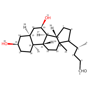 C[C@H](CCC=O)C1CC[C@H]2[C@@H]3[C@H](O)C[C@@H]4C[C@H](O)CC[C@]4(C)[C@H]3CCC12C